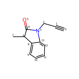 C#CCN1C(=O)C(C)c2ccccc21